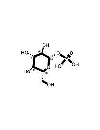 O=P(O)(O)O[C@@H]1O[C@H](CO)[C@H](O)[C@H](O)[C@H]1O